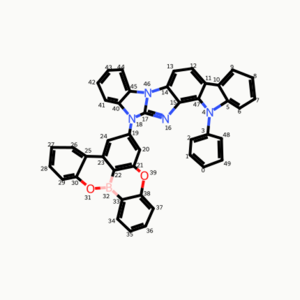 c1ccc(-n2c3ccccc3c3ccc4c(nc5n(-c6cc7c8c(c6)-c6ccccc6OB8c6ccccc6O7)c6ccccc6n45)c32)cc1